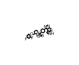 O=[SH](=O)C(C1CCC(c2ncnc3cnc4[nH]ccc4c23)CC1)N1CCCC(COc2ccc(F)cc2F)C1